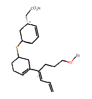 C=C/C=C(\CCCOCC)C1=CCCC(SC2CC=C[C@@H](CC(=O)O)C2)C1